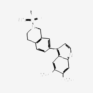 COc1cc2nccc(-c3ccc4c(c3)CN([S@](C)(=N)=O)CC4)c2cc1OC